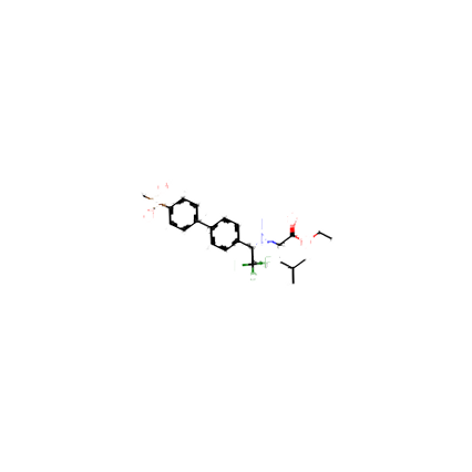 CCOC(=O)[C@H](CC(C)C)N[C@@H](c1ccc(-c2ccc(S(C)(=O)=O)cc2)cc1)C(F)(F)F